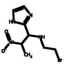 CC(C(NCCBr)c1ncc[nH]1)[N+](=O)[O-]